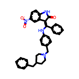 O=C1Nc2ccc([N+](=O)[O-])cc2C1=C(Nc1ccc(CN2CCC(Cc3ccccc3)CC2)cc1)c1ccccc1